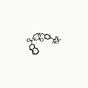 Cc1nc(-c2ccc(CN3CCN(C(=O)c4ccc5ccccc5c4)CC3=O)cc2)no1